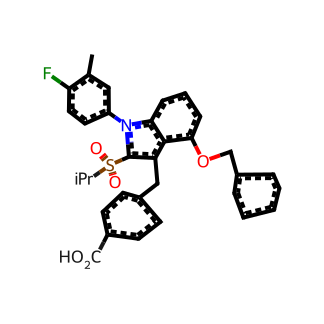 Cc1cc(-n2c(S(=O)(=O)C(C)C)c(Cc3ccc(C(=O)O)cc3)c3c(OCc4ccccc4)cccc32)ccc1F